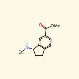 CCN[C@@H]1CCc2ccc(C(=O)OC)cc21